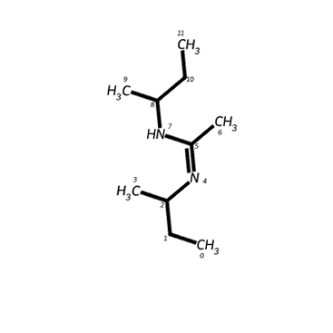 CCC(C)N=C(C)NC(C)CC